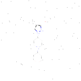 O=[N+]([O-])c1cn(C2CCN(C3CCOCC3)CC2)nc1OCC(F)(F)F